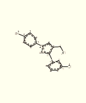 ClCc1cn(-c2ccc(Br)cc2)nc1-c1cccc(Cl)c1